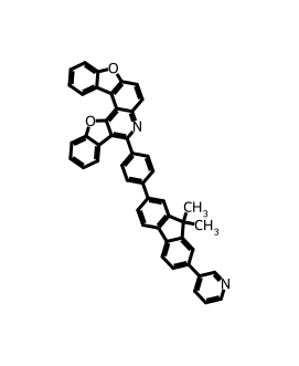 CC1(C)c2cc(-c3ccc(-c4nc5ccc6oc7ccccc7c6c5c5oc6ccccc6c45)cc3)ccc2-c2ccc(-c3cccnc3)cc21